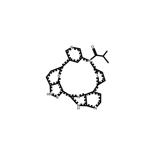 CC(C)C(=O)n1c2cncc(c2)c2ccc3[nH]nc(c4nc5c(nccc5c5ccc1s5)[nH]4)c3n2